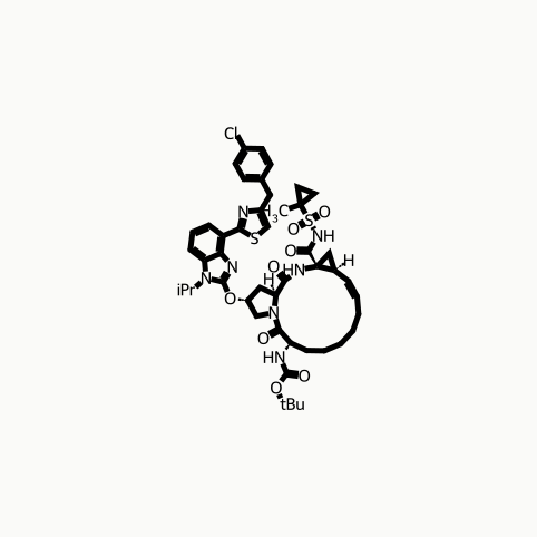 CC(C)n1c(O[C@@H]2C[C@H]3C(=O)N[C@]4(C(=O)NS(=O)(=O)C5(C)CC5)C[C@H]4/C=C\CCCCC[C@H](NC(=O)OC(C)(C)C)C(=O)N3C2)nc2c(-c3nc(Cc4ccc(Cl)cc4)cs3)cccc21